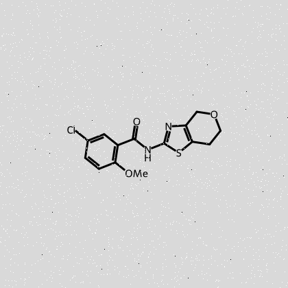 COc1ccc(Cl)cc1C(=O)Nc1nc2c(s1)CCOC2